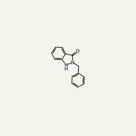 O=c1c2ccccc2[nH]n1Cc1cc[c]cc1